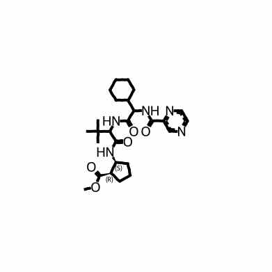 COC(=O)[C@@H]1CCC[C@@H]1NC(=O)C(NC(=O)C(NC(=O)c1cnccn1)C1CCCCC1)C(C)(C)C